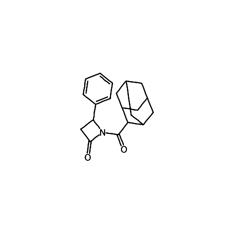 O=C1CC(c2ccccc2)N1C(=O)C1C2CC3CC(C2)CC1C3